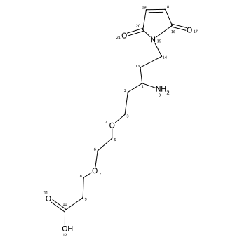 NC(CCOCCOCCC(=O)O)CCN1C(=O)C=CC1=O